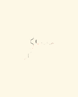 BrCCCCOc1ccccc1OCCCCBr